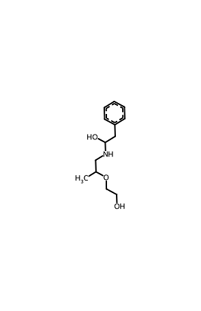 CC(CNC(O)Cc1ccccc1)OCCO